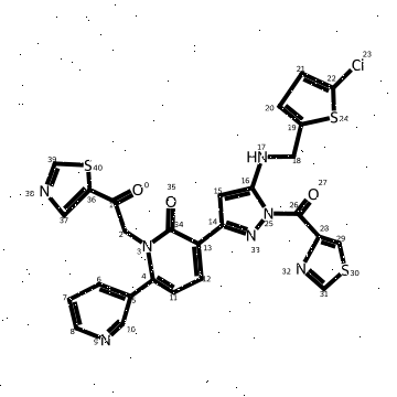 O=C(Cn1c(-c2cccnc2)ccc(-c2cc(NCc3ccc(Cl)s3)n(C(=O)c3cscn3)n2)c1=O)c1cncs1